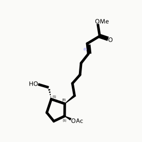 COC(=O)/C=C/CCCC[C@@H]1[C@@H](CO)CC[C@@H]1OC(C)=O